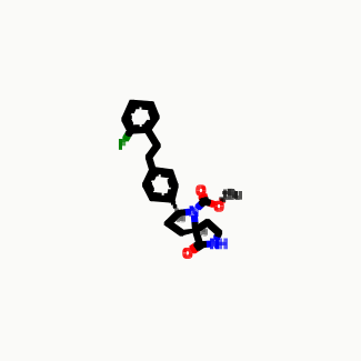 CC(C)(C)OC(=O)N1[C@@H](c2ccc(CCc3ccccc3F)cc2)CC[C@]12CCNC2=O